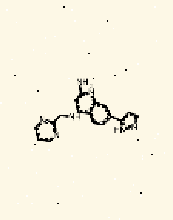 Nc1cc(NCc2ncccn2)c2ccc(-c3ccn[nH]3)cc2n1